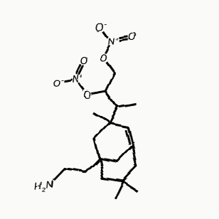 CC(C(CO[N+](=O)[O-])O[N+](=O)[O-])C1(C)C=C2CC(C)(C)CC(CCN)(C2)C1